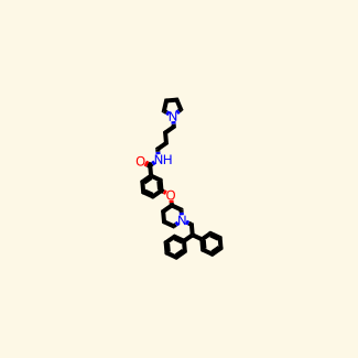 O=C(NCCCCN1CCCC1)c1cccc(OC2CCCN(CC(c3ccccc3)c3ccccc3)C2)c1